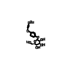 CCCCC#COc1ccc(O[C@@H]2O[C@H](CO)[C@@H](O)[C@H](O)[C@H]2O)cc1